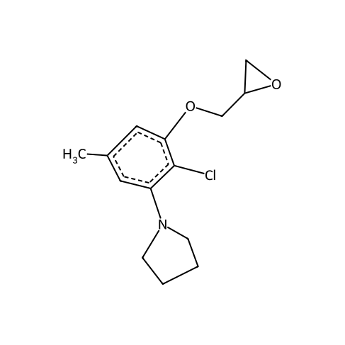 Cc1cc(OCC2CO2)c(Cl)c(N2CCCC2)c1